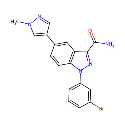 Cn1cc(-c2ccc3c(c2)c(C(N)=O)nn3-c2cccc(Br)c2)cn1